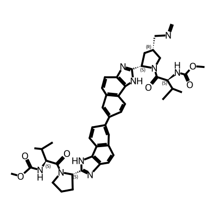 C=NC[C@H]1C[C@@H](c2nc3ccc4cc(-c5ccc6c(ccc7nc([C@@H]8CCCN8C(=O)[C@@H](NC(=O)OC)C(C)C)[nH]c76)c5)ccc4c3[nH]2)N(C(=O)[C@@H](NC(=O)OC)C(C)C)C1